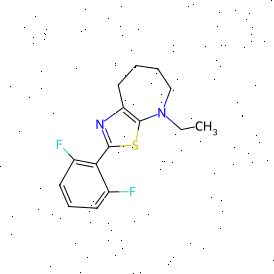 CCN1CCCCc2nc(-c3c(F)cccc3F)sc21